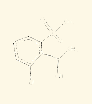 CC(C)c1c(Cl)cccc1S(C)(=O)=O